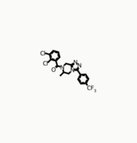 CC1Cn2c(nnc2-c2ccc(C(F)(F)F)cc2)CN1C(=O)c1cccc(Cl)c1Cl